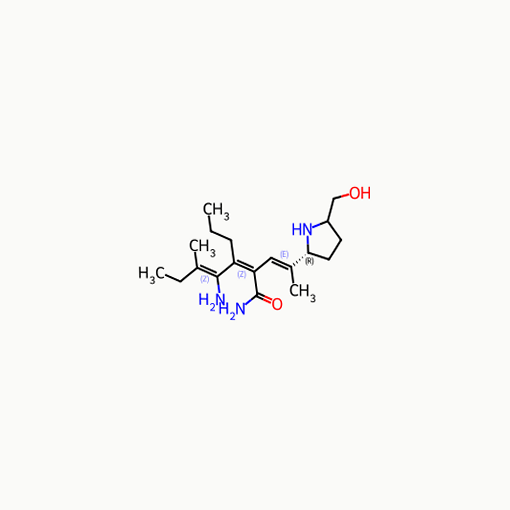 CCCC(=C(\C=C(/C)[C@H]1CCC(CO)N1)C(N)=O)/C(N)=C(\C)CC